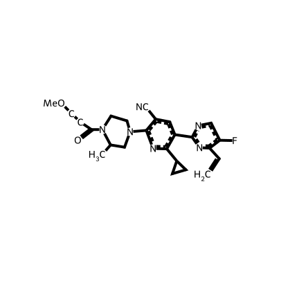 C=Cc1nc(-c2cc(C#N)c(N3CCN(C(=O)CCOC)C(C)C3)nc2C2CC2)ncc1F